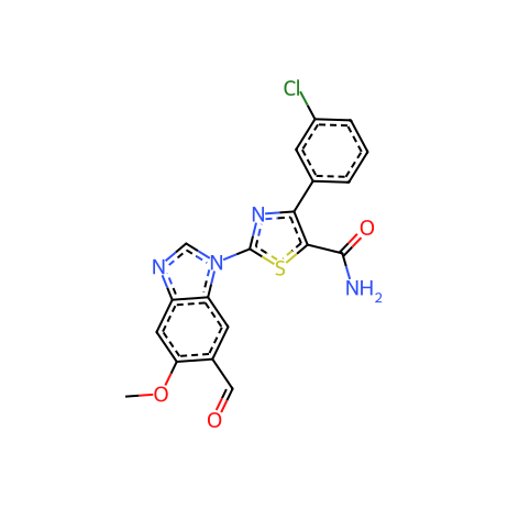 COc1cc2ncn(-c3nc(-c4cccc(Cl)c4)c(C(N)=O)s3)c2cc1C=O